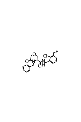 O=C(NCc1cccc(CF)c1Cl)C1COCC(=O)N1Cc1ccccc1